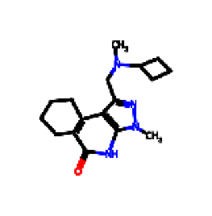 CN(Cc1nn(C)c2[nH]c(=O)c3c(c12)CCCC3)C1CCC1